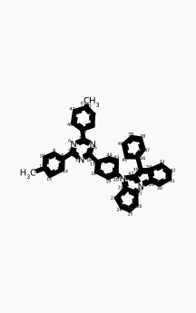 Cc1ccc(-c2nc(-c3ccc(C)cc3)nc(-c3ccc(-n4c5ccccc5n5c6ccccc6c(-c6ccccc6)c45)cc3)n2)cc1